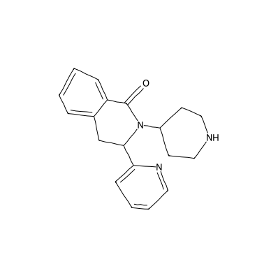 O=C1c2ccccc2CC(c2ccccn2)N1C1CCNCC1